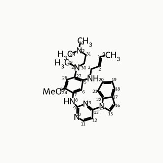 C/C=C/CNc1cc(Nc2nccc(-n3ccc4ccccc43)n2)c(OC)cc1N(C)CCN(C)C